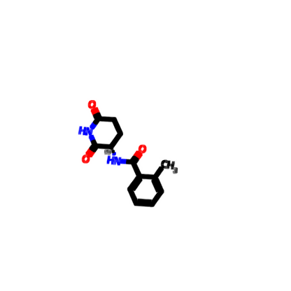 Cc1ccccc1C(=O)N[C@H]1CCC(=O)NC1=O